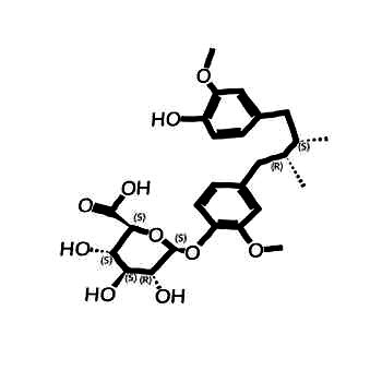 COc1cc(C[C@H](C)[C@H](C)Cc2ccc(O[C@@H]3O[C@H](C(=O)O)[C@@H](O)[C@H](O)[C@H]3O)c(OC)c2)ccc1O